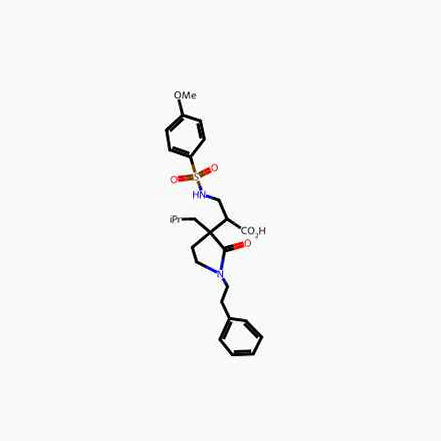 COc1ccc(S(=O)(=O)NCC(C(=O)O)C2(CC(C)C)CCN(CCc3ccccc3)C2=O)cc1